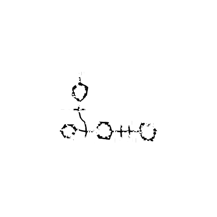 CC(C)(C)c1ccc(C(C)(C)CCC(C)(c2ccccn2)[n+]2ccc(C(C)(C)C(C)(C)c3cccnc3)cc2)cc1